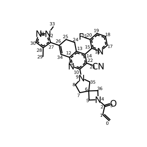 C=CC(=O)N1CC2(CCN(c3nc4c(c(-c5ncccc5F)c3C#N)CCC(c3c(C)cnn3C)=C4)C2)C1